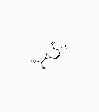 CC(=O)C[C@H](C)/C=C\[C@@H]1CC1C(C)N